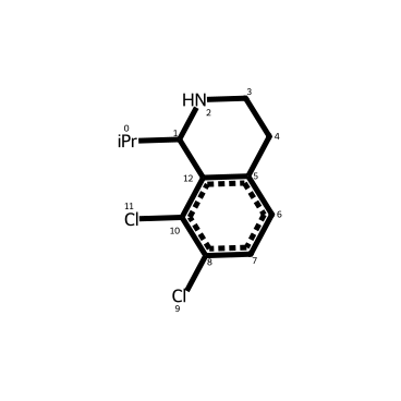 CC(C)C1NCCc2ccc(Cl)c(Cl)c21